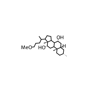 COCCCC(C)C1CCC2C3C(C[C@H](O)[C@]12C)[C@@]1(C)CC[C@@H](C)C[C@H]1C[C@H]3O